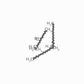 CCCCCCCCCCCCCCCCCC[N+](C)(C)CCCCCCCCCCCCCCCCCC.CCCCCCCCCCCCCCCC[N+](C)(C)C.[Br-].[Cl-]